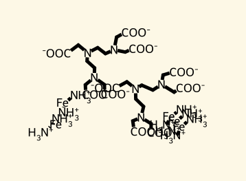 O=C([O-])CN(CCN(CC(=O)[O-])CC(=O)[O-])CCN(CC(=O)[O-])CC(=O)[O-].O=C([O-])CN(CCN(CC(=O)[O-])CC(=O)[O-])CCN(CC(=O)[O-])CC(=O)[O-].[NH3+][Fe][NH3+].[NH3+][Fe][NH3+].[NH3+][Fe][NH3+].[NH3+][Fe][NH3+].[NH3+][Fe][NH3+]